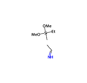 CC=N.CC[Si](C)(OC)OC